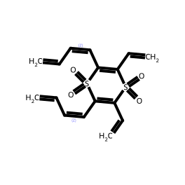 C=C/C=C\C1=C(C=C)S(=O)(=O)C(C=C)=C(/C=C\C=C)S1(=O)=O